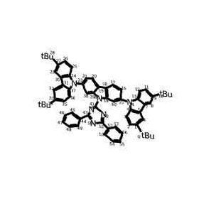 CC(C)(C)c1ccc2c(c1)c1cc(C(C)(C)C)ccc1n2-c1ccc2c3ccc(-n4c5ccc(C(C)(C)C)cc5c5cc(C(C)(C)C)ccc54)cc3n(-c3nc(-c4ccccc4)nc(-c4ccccc4)n3)c2c1